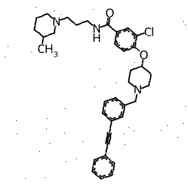 CC1CCCN(CCCNC(=O)c2ccc(OC3CCN(Cc4cccc(C#Cc5ccccc5)c4)CC3)c(Cl)c2)C1